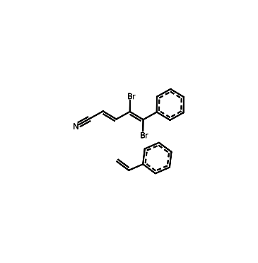 C=Cc1ccccc1.N#CC=CC(Br)=C(Br)c1ccccc1